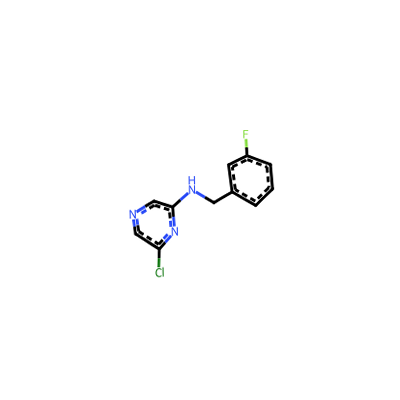 Fc1cccc(CNc2cncc(Cl)n2)c1